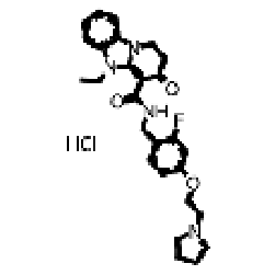 CCN1C2=C(C(=O)NCc3ccc(OCCN4CCCC4)cc3F)C(=O)CCN2c2ccccc21.Cl